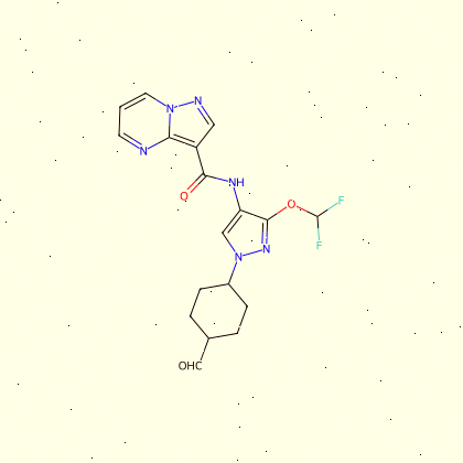 O=CC1CCC(n2cc(NC(=O)c3cnn4cccnc34)c(OC(F)F)n2)CC1